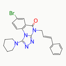 O=c1c2cc(Br)ccc2n2c(N3CCCCC3)nnc2n1C/C=C/c1ccccc1